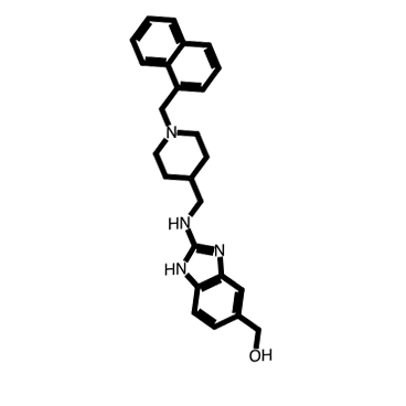 OCc1ccc2[nH]c(NCC3CCN(Cc4cccc5ccccc45)CC3)nc2c1